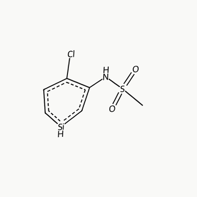 CS(=O)(=O)Nc1c[siH]ccc1Cl